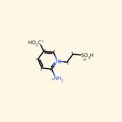 Nc1ccc(C(=O)O)c[n+]1CCS(=O)(=O)O